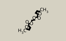 Cc1ccc(C(=O)OCCOC(=O)c2ccc(C)o2)o1